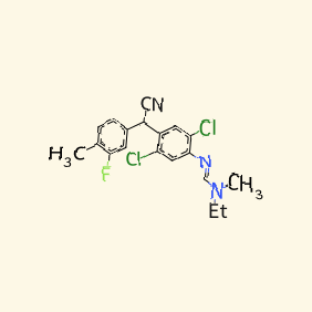 CCN(C)C=Nc1cc(Cl)c(C(C#N)c2ccc(C)c(F)c2)cc1Cl